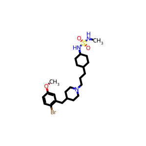 CNS(=O)(=O)NC1CCC(CCCN2CCC(Cc3cc(OC)ccc3Br)CC2)CC1